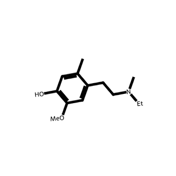 CCN(C)CCc1cc(OC)c(O)cc1C